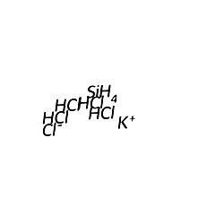 Cl.Cl.Cl.Cl.[Cl-].[K+].[SiH4]